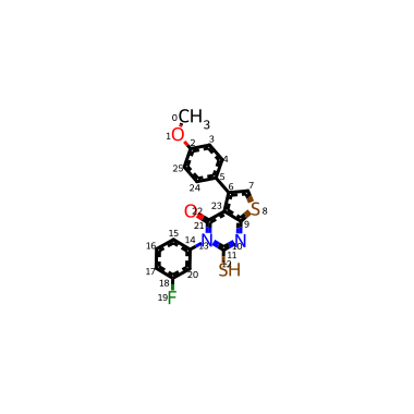 COc1ccc(-c2csc3nc(S)n(-c4cccc(F)c4)c(=O)c23)cc1